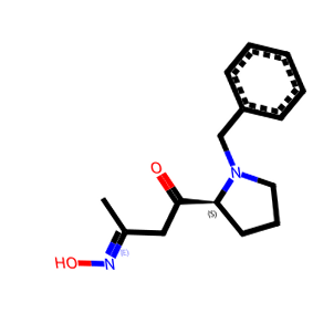 C/C(CC(=O)[C@@H]1CCCN1Cc1ccccc1)=N\O